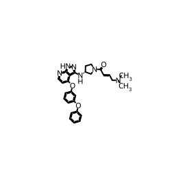 CN(C)C/C=C/C(=O)N1CC[C@@H](Nc2n[nH]c3nccc(Oc4cccc(Oc5ccccc5)c4)c23)C1